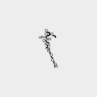 C=CCOc1cc([C@@H](CCC)NC(=O)C2CSC(/C(C)=N/OCCOCCOCCOCC)=N2)oc(=O)c1